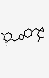 CC(C)CC1(CN2CCC3(CC2)CC(CN2CCN(C)C[C@H]2C)C3)CC1